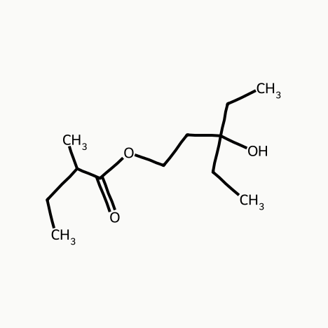 CCC(C)C(=O)OCCC(O)(CC)CC